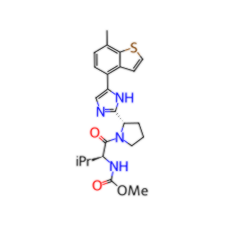 COC(=O)N[C@H](C(=O)N1CCC[C@H]1c1ncc(-c2ccc(C)c3sccc23)[nH]1)C(C)C